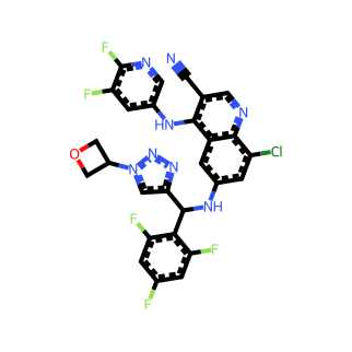 N#Cc1cnc2c(Cl)cc(NC(c3cn(C4COC4)nn3)c3c(F)cc(F)cc3F)cc2c1Nc1cnc(F)c(F)c1